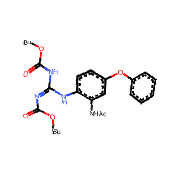 CCC(C)OC(=O)N=C(NC(=O)OC(C)CC)Nc1ccc(Oc2ccccc2)cc1NC(C)=O